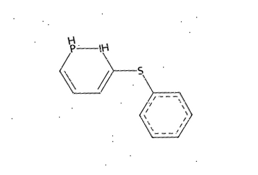 C1=CP[IH]C(Sc2ccccc2)=C1